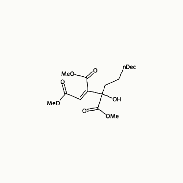 CCCCCCCCCCCCC(O)(C(=O)OC)C(=CC(=O)OC)C(=O)OC